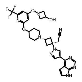 N#CC[C@]1(n2cc(-c3ncnc4[nH]ccc34)cn2)C[C@H](N2CCC(Oc3cc(ON4CC(O)C4)cc(C(F)(F)F)n3)CC2)C1